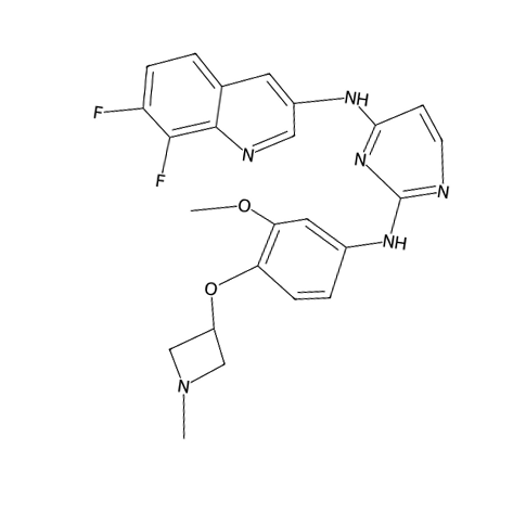 COc1cc(Nc2nccc(Nc3cnc4c(F)c(F)ccc4c3)n2)ccc1OC1CN(C)C1